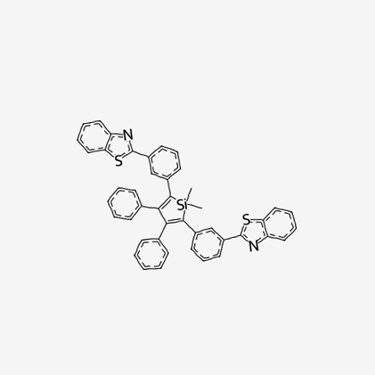 C[Si]1(C)C(c2cccc(-c3nc4ccccc4s3)c2)=C(c2ccccc2)C(c2ccccc2)=C1c1cccc(-c2nc3ccccc3s2)c1